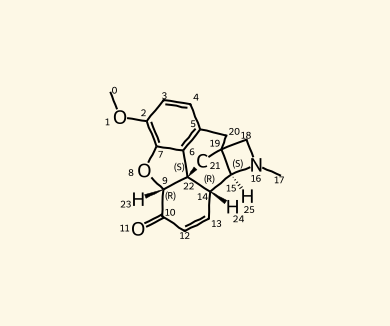 COc1ccc2c3c1O[C@H]1C(=O)C=C[C@H]4[C@@H]5N(C)CC5(C2)C[C@]314